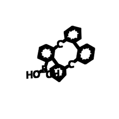 OB(O)c1cccc2c1-c1ccccc1Cc1ccccc1-c1ccccc1C2